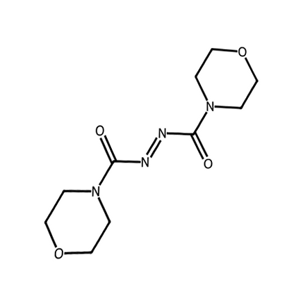 O=C(/N=N/C(=O)N1CCOCC1)N1CCOCC1